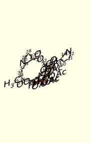 CC(=O)OC[C@]12[C@H](OC(C)=O)[C@H](OC(=O)c3cccnc3)[C@@H]3[C@H](OC(C)=O)[C@@]14O[C@]3(C)COC(=O)c1cccnc1CCC(C)C(=O)O[C@@H]([C@H](OC(C)=O)[C@@H]2OC(C)=O)[C@H]4C